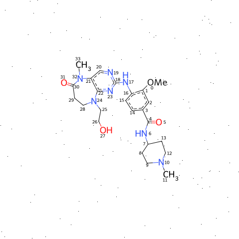 COc1cc(C(=O)NC2CCN(C)CC2)ccc1Nc1ncc2c(n1)N(CCO)CCC(=O)N2C